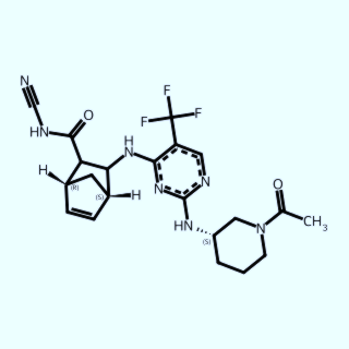 CC(=O)N1CCC[C@H](Nc2ncc(C(F)(F)F)c(NC3C(C(=O)NC#N)[C@H]4C=C[C@@H]3C4)n2)C1